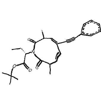 CC[C@@H](C(=O)OC(C)(C)C)N1C(=O)C(C)/C=C\C(C#Cc2ccccc2)=C/C(I)C1=O